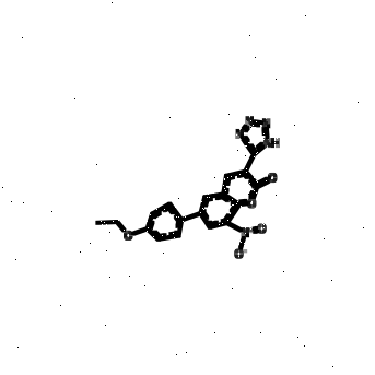 CCOc1ccc(-c2cc([N+](=O)[O-])c3oc(=O)c(-c4nnn[nH]4)cc3c2)cc1